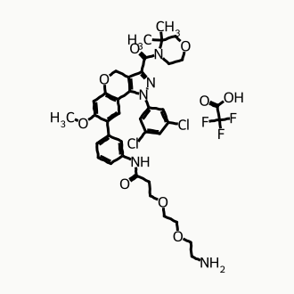 COc1cc2c(cc1-c1cccc(NC(=O)CCOCCOCCN)c1)-c1c(c(C(=O)N3CCOCC3(C)C)nn1-c1cc(Cl)cc(Cl)c1)CO2.O=C(O)C(F)(F)F